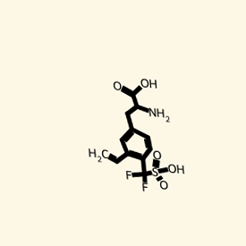 C=Cc1cc(CC(N)C(=O)O)ccc1C(F)(F)S(=O)(=O)O